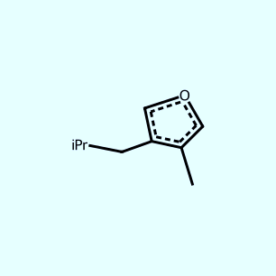 Cc1cocc1CC(C)C